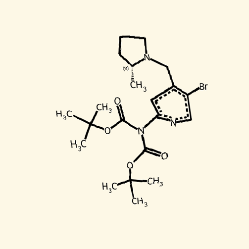 C[C@@H]1CCCN1Cc1cc(N(C(=O)OC(C)(C)C)C(=O)OC(C)(C)C)ncc1Br